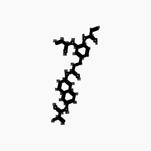 C=CC(=O)Oc1ccc(CCC(=O)Oc2ccc3cc(OC(=O)C(=C)C)ccc3c2)cc1OC(=O)C=C